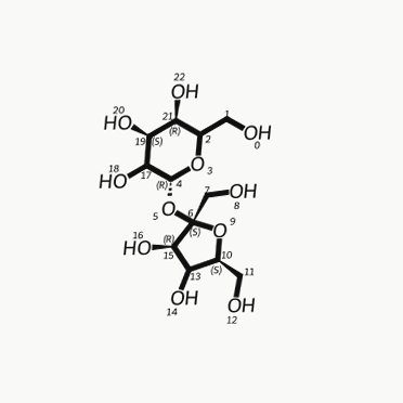 OCC1O[C@H](O[C@]2(CO)O[C@@H](CO)C(O)[C@H]2O)C(O)[C@@H](O)[C@H]1O